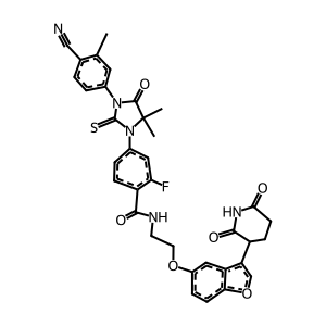 Cc1cc(N2C(=O)C(C)(C)N(c3ccc(C(=O)NCCOc4ccc5occ(C6CCC(=O)NC6=O)c5c4)c(F)c3)C2=S)ccc1C#N